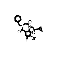 O=C(CN1C(=O)CN(Cc2ccccc2)C(=O)c2cc(F)c(Br)cc21)C1CC1